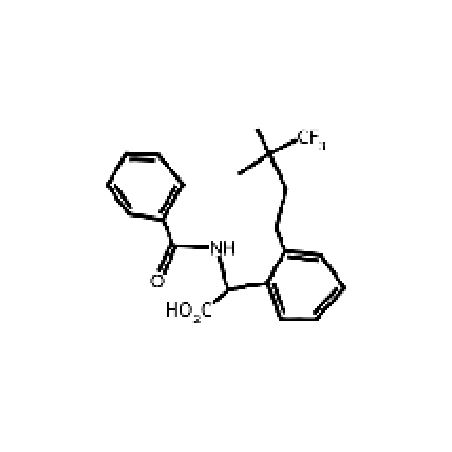 CC(C)(CCc1ccccc1C(NC(=O)c1ccccc1)C(=O)O)C(F)(F)F